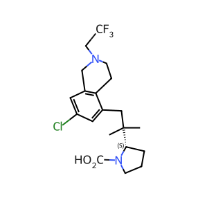 CC(C)(Cc1cc(Cl)cc2c1CCN(CC(F)(F)F)C2)[C@@H]1CCCN1C(=O)O